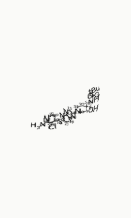 CC(C)(C)OC(=O)NCC1(CO)CCN(c2cnc3nc(Sc4ccnc(N)c4Cl)ccc3n2)CC1